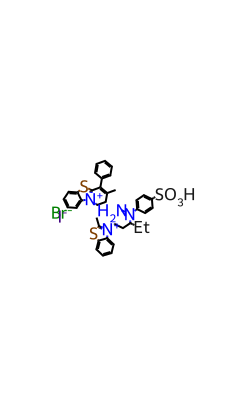 CC1=C(c2ccccc2)c2sc3ccccc3[n+]2CC1.CCC(CC[n+]1c(C)sc2ccccc21)N(N)c1ccc(S(=O)(=O)O)cc1.[Br-].[I-]